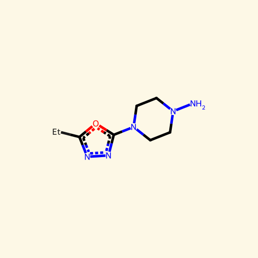 CCc1nnc(N2CCN(N)CC2)o1